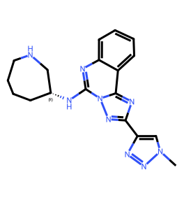 Cn1cc(-c2nc3c4ccccc4nc(N[C@@H]4CCCCNC4)n3n2)nn1